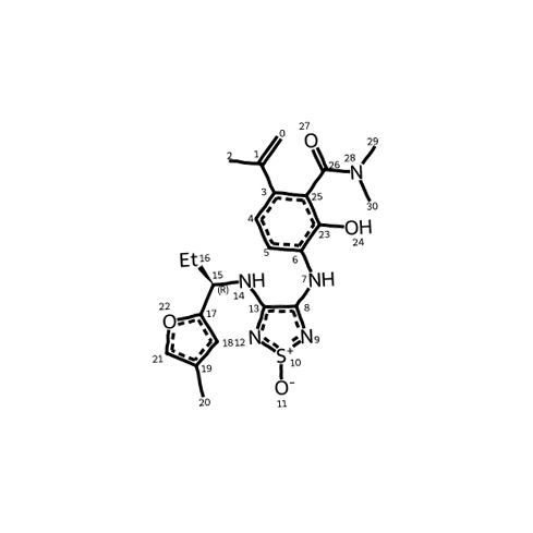 C=C(C)c1ccc(Nc2n[s+]([O-])nc2N[C@H](CC)c2cc(C)co2)c(O)c1C(=O)N(C)C